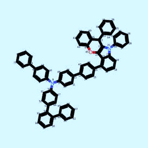 c1ccc(-c2ccc(N(c3ccc(-c4ccc(-c5cccc6c5c5c(n6-c6ccccc6)C(c6ccccc6)c6ccccc6O5)cc4)cc3)c3ccc(-c4ccccc4-c4ccccc4)cc3)cc2)cc1